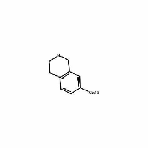 COc1ccc2c(c1)C[N]CC2